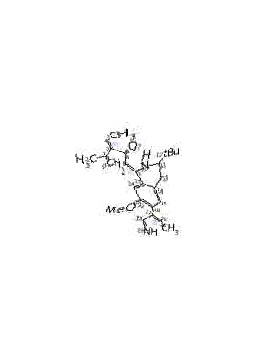 C=C(C)/C(=C/C)C(=O)/C=C1\NC(C(C)(C)C)Cc2cc(/C(C=N)=C/C)c(OC)cc21